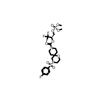 COP(=O)(OC)OC[C@@H](OC(=O)N1CCC2(CC1)CN(S(=O)(=O)c1ccc(F)cc1)CCO2)C(F)(F)F